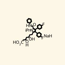 CC(C)n1c(CC[C@@H](O)C[C@@H](O)CC(=O)O)c(-c2ccc(F)cc2)c(-c2ccc(F)cc2)c1C(=O)Nc1ccccc1.[NaH]